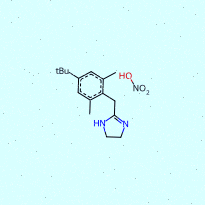 Cc1cc(C(C)(C)C)cc(C)c1CC1=NCCN1.O=[N+]([O-])O